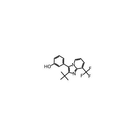 CC(C)(C)c1nc2c(C(F)(F)F)cccn2c1-c1cccc(O)c1